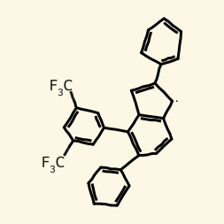 FC(F)(F)c1cc(-c2c(-c3ccccc3)ccc3c2C=C(c2ccccc2)[CH]3)cc(C(F)(F)F)c1